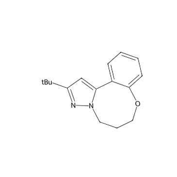 CC(C)(C)c1cc2n(n1)CCCOc1ccccc1-2